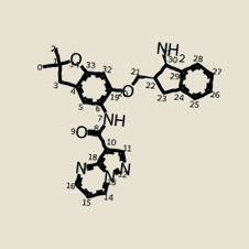 CC1(C)Cc2cc(NC(=O)c3cnn4cccnc34)c(OC[C@@H]3Cc4ccccc4[C@@H]3N)cc2O1